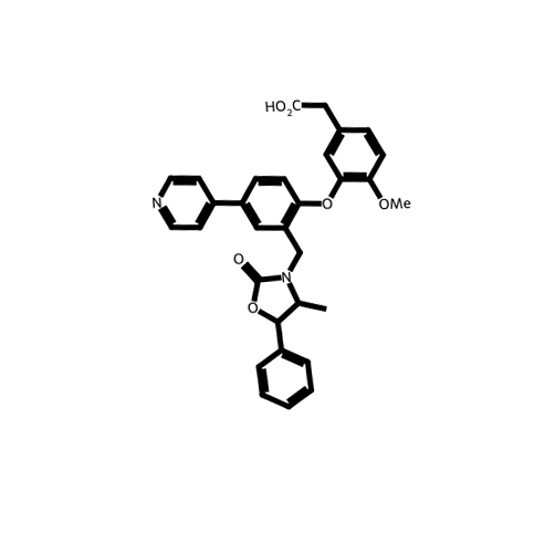 COc1ccc(CC(=O)O)cc1Oc1ccc(-c2ccncc2)cc1CN1C(=O)OC(c2ccccc2)C1C